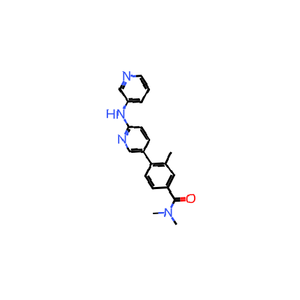 Cc1cc(C(=O)N(C)C)ccc1-c1ccc(Nc2cccnc2)nc1